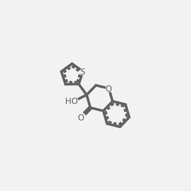 O=C1c2ccccc2OCC1(O)c1cccs1